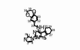 Cc1nccn1-c1nc(NCc2ccc3c(c2)OCCO3)c2c3c(sc2n1)CCCC3